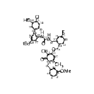 COc1cccc(Cn2c(C)cc(OCc3ccc(F)cc3CNC(=O)Nc3cc(C(C)(C)C)nn3-c3ccc(Cl)c(O)c3)c(Cl)c2=O)c1